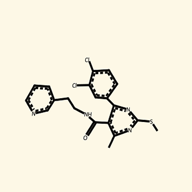 CSc1nc(C)c(C(=O)NCCc2cccnc2)c(-c2ccc(Cl)c(Cl)c2)n1